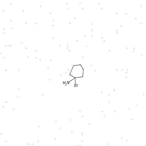 [CH2]CC1(N)CCCCC1